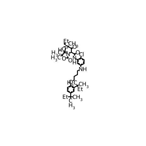 CCSC(C)(C)C(=O)C(C(=O)Nc1cc(NCCCCOc2ccc(C(C)(C)CC)cc2C(C)(C)CC)ccc1Cl)N1C(=O)OC(C)(C)C1=O